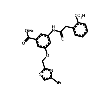 COC(=O)c1cc(NC(=O)Cc2ccccc2C(=O)O)cc(OCc2nc(C(C)C)cs2)c1